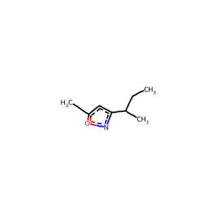 CCC(C)c1cc(C)on1